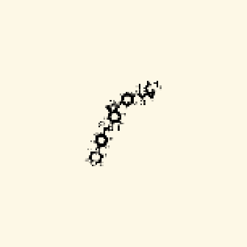 NCC1(C(=O)Nc2ccc(-n3ncc4cc(NC(=O)c5ccc(N6CCOCC6)cc5)ccc43)cc2)CC1